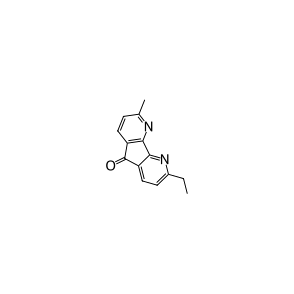 CCc1ccc2c(n1)-c1nc(C)ccc1C2=O